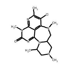 Cc1nc2c3c(nc(=O)n2C)N2C(C)CN(C)CC2CN(C)c3c1Cl